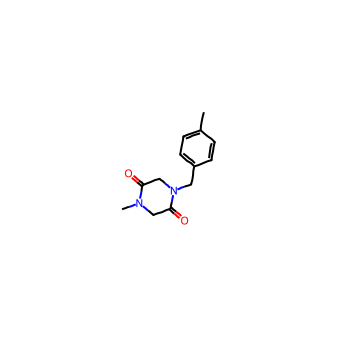 Cc1ccc(CN2CC(=O)N(C)CC2=O)cc1